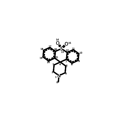 CN1CCC2(CC1)c1ccccc1S(=O)(=O)c1ccccc12